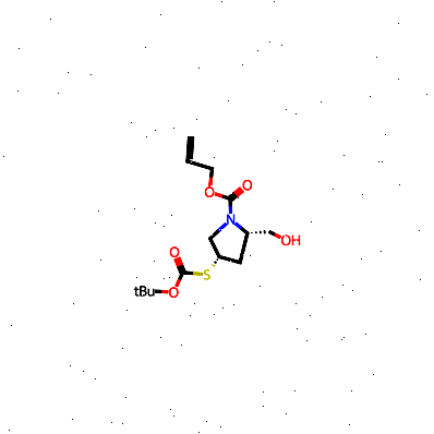 C=CCOC(=O)N1C[C@@H](SC(=O)OC(C)(C)C)C[C@H]1CO